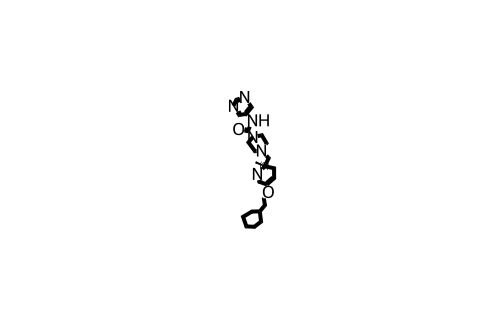 C[C@@]1(CN2CCN(C(=O)Nc3cncnc3)CC2)CC=C(OCCC2CCCCC2)C=N1